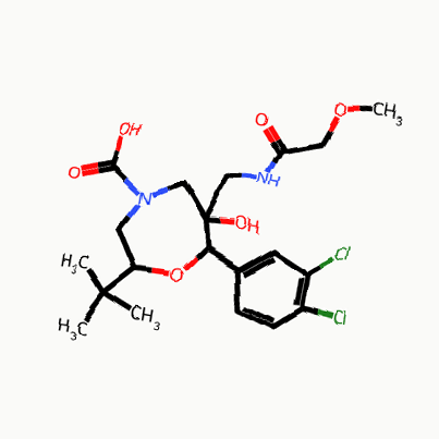 COCC(=O)NCC1(O)CN(C(=O)O)CC(C(C)(C)C)OC1c1ccc(Cl)c(Cl)c1